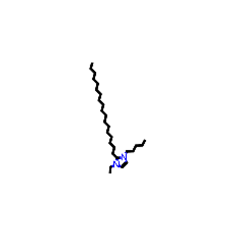 CCCCCCCCCCCCCCCCCCC1N(CC)C=CN1CCCCC